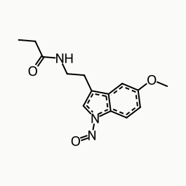 CCC(=O)NCCc1cn(N=O)c2ccc(OC)cc12